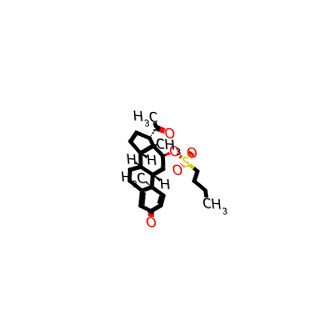 CCCCS(=O)(=O)O[C@H]1C[C@H]2[C@@H](CCC3=CC(=O)C=C[C@@]32C)[C@@H]2CC[C@H](C(C)=O)[C@@]12C